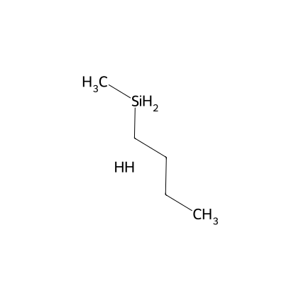 CCCC[SiH2]C.[HH]